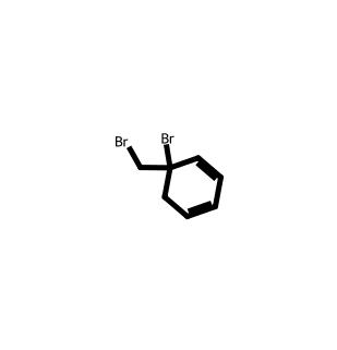 BrCC1(Br)C=CC=CC1